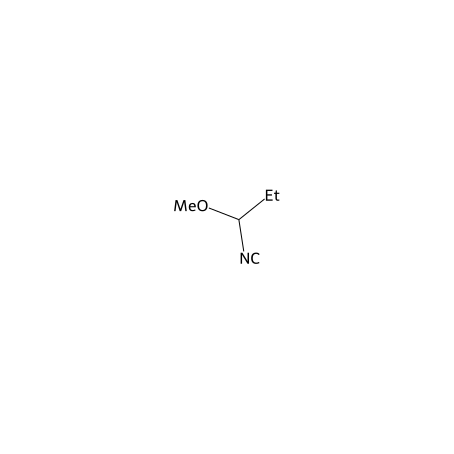 [C-]#[N+]C(CC)OC